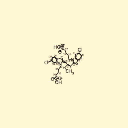 CCC(=Cc1sc2ccc(Cl)cc2[n+]1CCCCS(=O)(=O)O)C=C1Sc2ccc(Cl)cc2N1CCCCS(=O)(=O)O